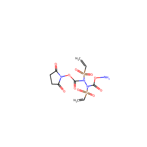 C=CS(=O)(=O)N(C(=O)ON)N(C(=O)ON1C(=O)CCC1=O)S(=O)(=O)C=C